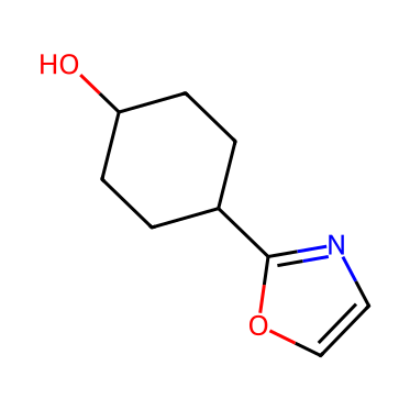 OC1CCC(c2ncco2)CC1